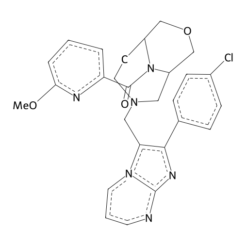 COc1cccc(C(=O)N2C3CCN(Cc4c(-c5ccc(Cl)cc5)nc5ncccn45)CC2COC3)n1